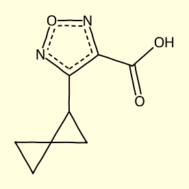 O=C(O)c1nonc1C1CC12CC2